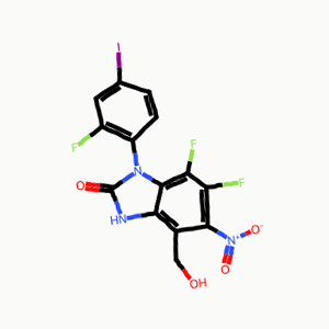 O=c1[nH]c2c(CO)c([N+](=O)[O-])c(F)c(F)c2n1-c1ccc(I)cc1F